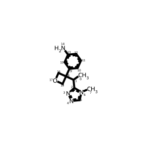 CC(c1nncn1C)C1(c2cccc(N)c2)COC1